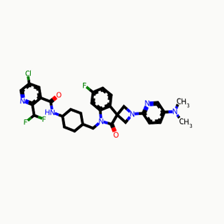 CN(C)c1ccc(N2CC3(C2)C(=O)N(CC2CCC(NC(=O)c4cc(Cl)cnc4C(F)F)CC2)c2cc(F)ccc23)nc1